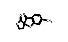 Cc1ccc2c(c1)SC1(CCOC1=O)C2=O